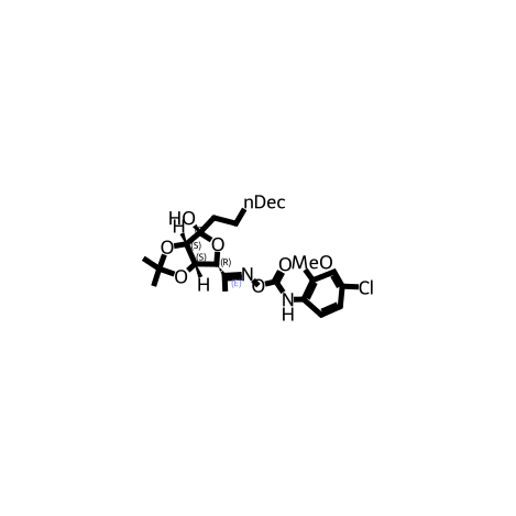 CCCCCCCCCCCC[C@]1(O)O[C@H](/C(C)=N/OC(=O)Nc2ccc(Cl)cc2OC)[C@@H]2OC(C)(C)O[C@@H]21